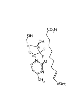 CCCCCCCCC=CCCCCCCCC(=O)O.Nc1ccn([C@@H]2O[C@H](CO)[C@@H](O)C2(F)F)c(=O)n1